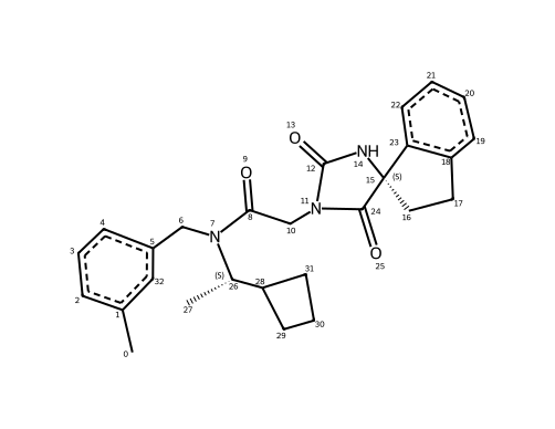 Cc1cccc(CN(C(=O)CN2C(=O)N[C@]3(CCc4ccccc43)C2=O)[C@@H](C)C2CCC2)c1